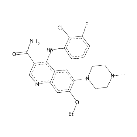 CCOc1cc2ncc(C(N)=O)c(Nc3cccc(F)c3Cl)c2cc1N1CCN(C)CC1